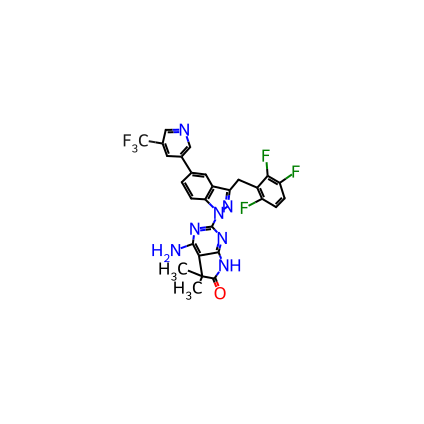 CC1(C)C(=O)Nc2nc(-n3nc(Cc4c(F)ccc(F)c4F)c4cc(-c5cncc(C(F)(F)F)c5)ccc43)nc(N)c21